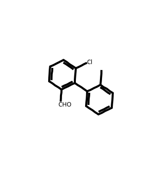 Cc1ccccc1-c1c(Cl)cccc1C=O